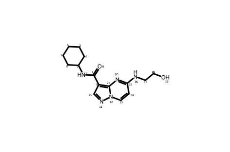 O=C(NC1CCCCC1)c1cnn2ccc(NCCO)nc12